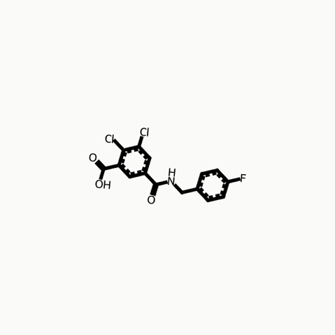 O=C(NCc1ccc(F)cc1)c1cc(Cl)c(Cl)c(C(=O)O)c1